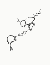 CC1(N2Cc3cc(Cl)ccc3-n3c(nnc3C3CC4(C3)CN(c3cccc(C#N)n3)C4)C2)CC(F)(F)C1